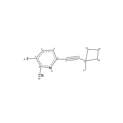 CC1(C#Cc2ccc(F)c(C#N)n2)CCC1